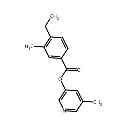 CCc1ccc(C(=O)Oc2cncc(C)c2)cc1C